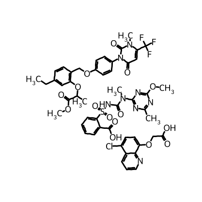 CCc1ccc(COc2ccc(-n3c(=O)cc(C(F)(F)F)n(C)c3=O)cc2)c(OC(C)C(=O)OC)c1.COc1nc(C)nc(N(C)C(=O)NS(=O)(=O)c2ccccc2C(=O)O)n1.O=C(O)COc1ccc(Cl)c2cccnc12